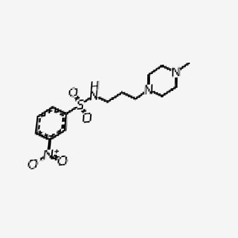 CN1CCN(CCCNS(=O)(=O)c2cccc([N+](=O)[O-])c2)CC1